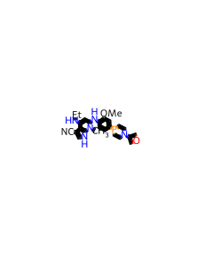 CCNC1=CC(Nc2ccc(P3CCN(C4COC4)CC3)cc2OC)N(C)c2[nH]cc(C#N)c21